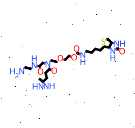 CC1(CCC(=O)N(CCOCCOC(=O)NCCCCC2SCC3NC(=O)NC32)CC(=O)NCCN)NN1